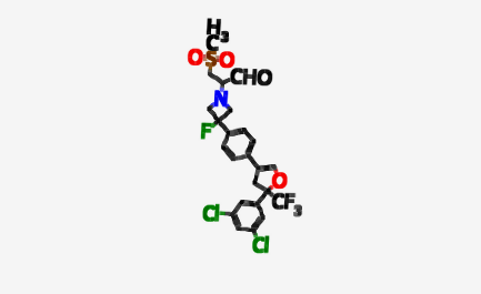 CS(=O)(=O)CC(C=O)N1CC(F)(c2ccc(C3=COC(c4cc(Cl)cc(Cl)c4)(C(F)(F)F)C3)cc2)C1